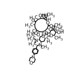 CO[C@]1(C)C[C@H](O[C@H]2[C@H](C)[C@@H](O[C@@H]3O[C@H](C)C[C@@H](N(C)Cc4ccc(N5CCOCC5)cc4)[C@@H]3N(C)C)[C@@](C)(OC)C[C@@H](C)C(=O)[C@H](C)[C@@H](O)[C@@]3(O)C(C)[C@H]3OC(=O)[C@@H]2C)O[C@@H](C)[C@@H]1O